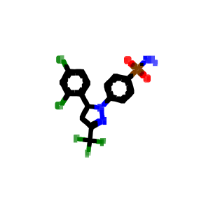 NS(=O)(=O)c1ccc(N2N=C(C(F)(F)F)CC2c2ccc(Cl)cc2Cl)cc1